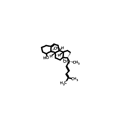 CC(C)=C/C=C/[C@@H](C)[C@H]1CC[C@H]2[C@@H]3CC=C4CCCC(O)[C@]4(C)[C@H]3CC[C@]12C